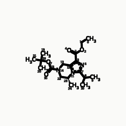 CCOC(=O)c1nc(C(C)C)n2c1CN(C(=O)OC(C)(C)C)C[C@H]2C